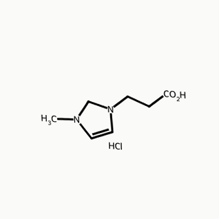 CN1C=CN(CCC(=O)O)C1.Cl